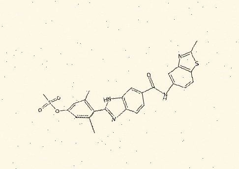 Cc1nc2cc(NC(=O)c3ccc4nc(-c5c(C)cc(OS(C)(=O)=O)cc5C)[nH]c4c3)ccc2s1